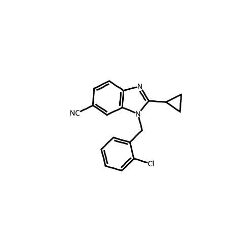 N#Cc1ccc2nc(C3CC3)n(Cc3ccccc3Cl)c2c1